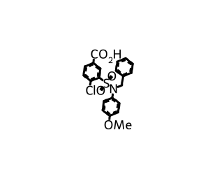 COc1ccc(N(Cc2ccccc2)S(=O)(=O)c2cc(C(=O)O)ccc2Cl)cc1